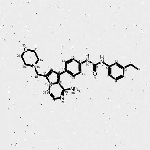 CCc1cccc(NC(=O)Nc2ccc(-c3cc(CN4CCOCC4)n4ncnc(N)c34)cc2)c1